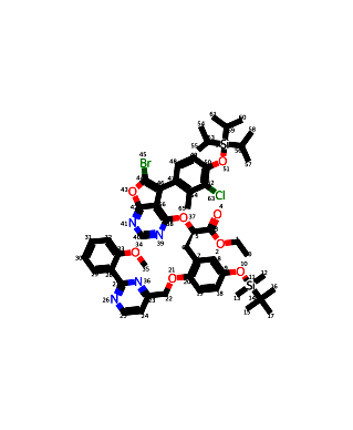 CCOC(=O)[C@@H](Cc1cc(O[Si](C)(C)C(C)(C)C)ccc1OCc1ccnc(-c2ccccc2OC)n1)Oc1ncnc2oc(Br)c(-c3ccc(O[Si](C(C)C)(C(C)C)C(C)C)c(Cl)c3C)c12